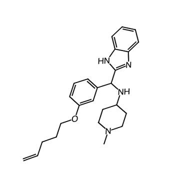 C=CCCCOc1cccc(C(NC2CCN(C)CC2)c2nc3ccccc3[nH]2)c1